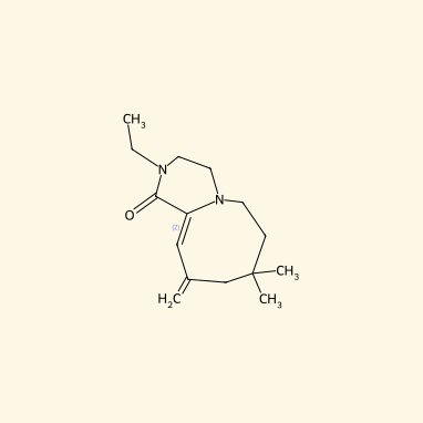 C=C1/C=C2/C(=O)N(CC)CCN2CCC(C)(C)C1